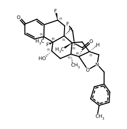 Cc1ccc(CN2C[C@@H]3C[C@@]4(C)[C@@H]5C[C@H](F)C6=CC(=O)C=C[C@]6(C)[C@@]5(F)[C@@H](O)C[C@]4(C)[C@]3(C(=O)SCF)O2)cc1